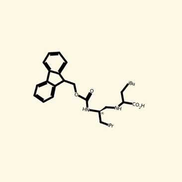 CCC(C)CC(NC[C@@H](CC(C)C)NC(=O)OCC1c2ccccc2-c2ccccc21)C(=O)O